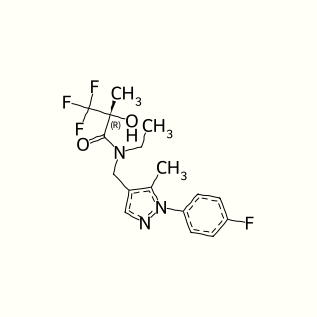 CCN(Cc1cnn(-c2ccc(F)cc2)c1C)C(=O)[C@@](C)(O)C(F)(F)F